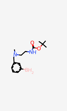 Bc1cccc(CN(C)CCNC(=O)OC(C)(C)C)c1